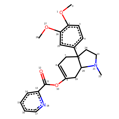 COc1ccc(C23CC=C(OC(=O)c4ccccn4)CC2N(C)CC3)cc1OC